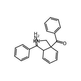 NNCC1(C(=O)c2ccccc2)C=CC=CC1C(=O)c1ccccc1